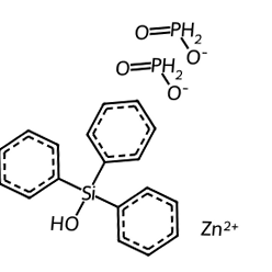 O=[PH2][O-].O=[PH2][O-].O[Si](c1ccccc1)(c1ccccc1)c1ccccc1.[Zn+2]